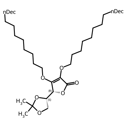 CCCCCCCCCCCCCCCCCCOC1=C(OCCCCCCCCCCCCCCCCCC)[C@@H]([C@@H]2COC(C)(C)O2)OC1=O